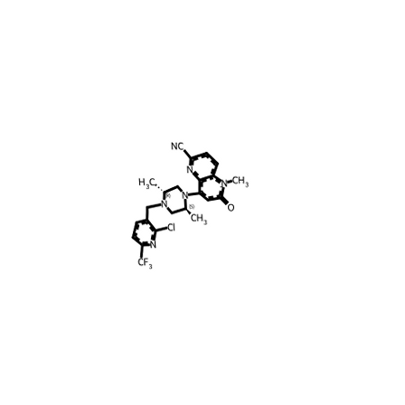 C[C@@H]1CN(c2cc(=O)n(C)c3ccc(C#N)nc23)[C@@H](C)CN1Cc1ccc(C(F)(F)F)nc1Cl